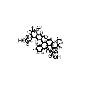 CCN1c2cc3c(cc2C(CS(=O)(=O)O)=CC1(C)C)C(c1ccccc1C(=O)O)=c1cc2c(cc1O3)=[N+](CC)C(C)(C)C=C2CS(=O)(=O)O